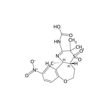 CC1(C)C(NC(=O)O)=N[C@]2(C)c3cc([N+](=O)[O-])ccc3OCC[C@H]2S1(=O)=O